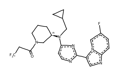 O=C(CC(F)(F)F)N1CCC[C@@H](N(CC2CC2)c2ccnc(-c3cnc4ccc(F)cn34)n2)C1